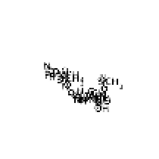 Cc1ncsc1-c1ccc(CNC(=O)[C@@H]2C[C@@H](O)CN2C(=O)[C@@H](NC(=O)CN2CCN(Cc3ccc(-c4ccc(N5C(=S)N(c6ccc(C#N)c(C(F)(F)F)c6F)C(=O)C5(C)C)cn4)cc3)CC2)C(C)(C)C)cc1